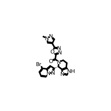 Cn1cc(-c2nnc(C(=O)N3CCc4[nH]cnc4[C@@H]3c3cc4c(Br)cccn4n3)o2)cn1